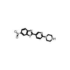 O=[N+]([O-])c1ccc2nc(-c3ccc(N4CCNCC4)nc3)sc2c1